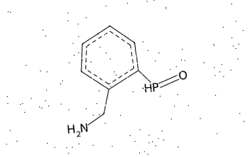 NCc1ccccc1[PH]=O